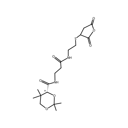 CC1(C)OCC(C)(C)[C@H](C(=O)NCCC(=O)NCCSC2CC(=O)OC2=O)O1